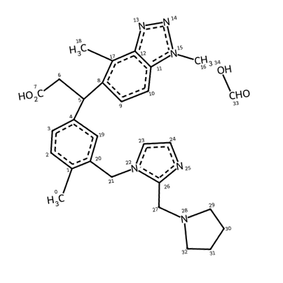 Cc1ccc(C(CC(=O)O)c2ccc3c(nnn3C)c2C)cc1Cn1ccnc1CN1CCCC1.O=CO